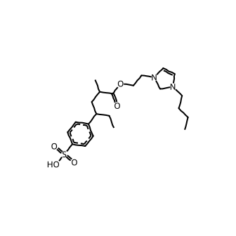 CCCCN1C=CN(CCOC(=O)C(C)CC(CC)c2ccc(S(=O)(=O)O)cc2)C1